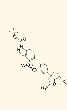 CCC(CCN)(C(=O)OC(C)(C)C)c1ccc(-c2ccc3c(cnn3C(=O)OC(C)(C)C)c2[N+](=O)[O-])cc1